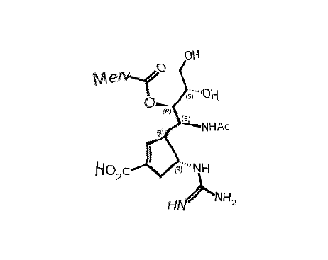 CNC(=O)O[C@H]([C@@H](NC(C)=O)[C@@H]1C=C(C(=O)O)C[C@H]1NC(=N)N)[C@@H](O)CO